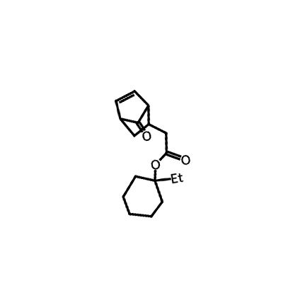 CCC1(OC(=O)CC2CC3C=CC2C3=O)CCCCC1